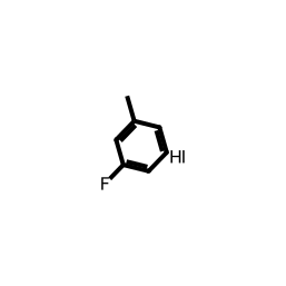 Cc1cccc(F)c1.I